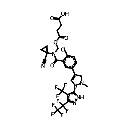 CN1CC(c2ccc(Cl)c(C(=O)N(COC(=O)CCC(=O)O)C3(C#N)CC3)c2)=CN1c1[nH]nc(C(F)(F)C(F)(F)F)c1C(F)(F)F